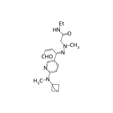 CCNC(=O)CN(C)/N=C(\C=C/C=O)c1ccc(N(C)C23CC(C2)C3)nc1